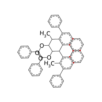 Cc1c(-c2ccccc2)ccc(-c2ccccc2)c1C1c2c(-c3ccccc3)ccc(-c3ccccc3)c2C(C)C(OC(=O)c2ccccc2)C1OC(=O)c1ccccc1